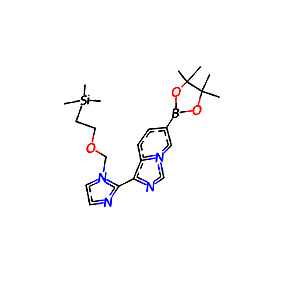 CC1(C)OB(c2ccc3c(-c4nccn4COCC[Si](C)(C)C)ncn3c2)OC1(C)C